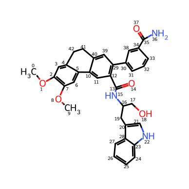 COc1cc2c(cc1OC)-c1cc(C(=O)NC(CO)Cc3c[nH]c4ccccc34)c(-c3cccc(C(N)=O)c3)cc1CC2